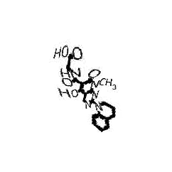 Cn1c(=O)c(C(=O)NCC(=O)O)c(O)c2cnc(N3CCCc4ccccc43)nc21